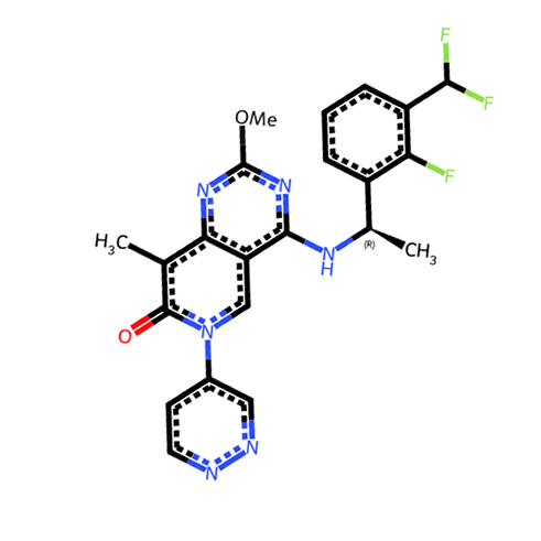 COc1nc(N[C@H](C)c2cccc(C(F)F)c2F)c2cn(-c3ccnnc3)c(=O)c(C)c2n1